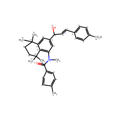 Cc1ccc(C(=O)N(C)c2cc(C(O)/C=C/c3ccc(C(=O)O)cc3)cc3c2C(C)(C)CCC3(C)C)cc1